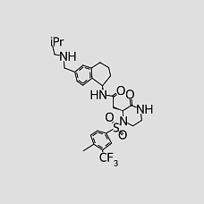 Cc1ccc(S(=O)(=O)N2CCNC(=O)[C@@H]2CC(=O)N[C@@H]2CCCc3cc(CNCC(C)C)ccc32)cc1C(F)(F)F